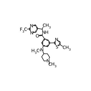 Cc1cnc(-c2cc(C(=O)NC(C)c3cnc(C(F)(F)F)nc3)cc(N(C)C3CCN(C)CC3)c2)s1